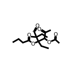 CCCC(=O)OC(CC)(C(OC(C)=O)C(C)=O)C(C)([C]=O)CC